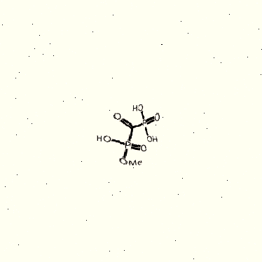 COP(=O)(O)C(=O)P(=O)(O)O